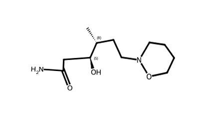 C[C@H](CCN1CCCCO1)[C@@H](O)CC(N)=O